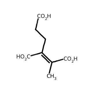 C/C(C(=O)O)=C(/CCC(=O)O)C(=O)O